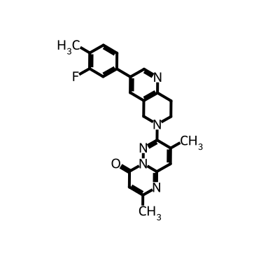 Cc1cc(=O)n2nc(N3CCc4ncc(-c5ccc(C)c(F)c5)cc4C3)c(C)cc2n1